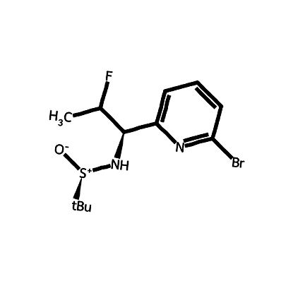 CC(F)[C@H](N[S@+]([O-])C(C)(C)C)c1cccc(Br)n1